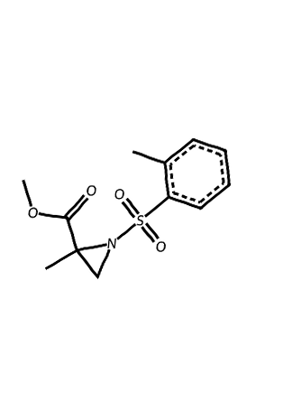 COC(=O)C1(C)CN1S(=O)(=O)c1ccccc1C